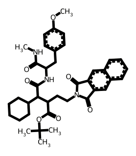 CNC(=O)C(Cc1ccc(OC)cc1)NC(=O)C(C1CCCCC1)C(CCN1C(=O)c2cc3ccccc3cc2C1=O)C(=O)OC(C)(C)C